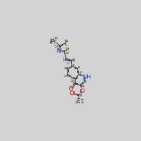 CCC(=O)Oc1c[nH]c2cc(/C=C/c3nc(C(C)C)cs3)ccc2c1=O